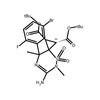 CN1C(N)=NC(C)(c2cc(Br)ccc2F)C2(C(C(=O)OC(C)(C)C)[C@@H]2C(=O)OC(C)(C)C)S1(=O)=O